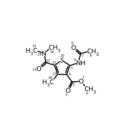 COC(=O)c1c(NC(C)=O)sc(C(=O)N(C)C)c1C